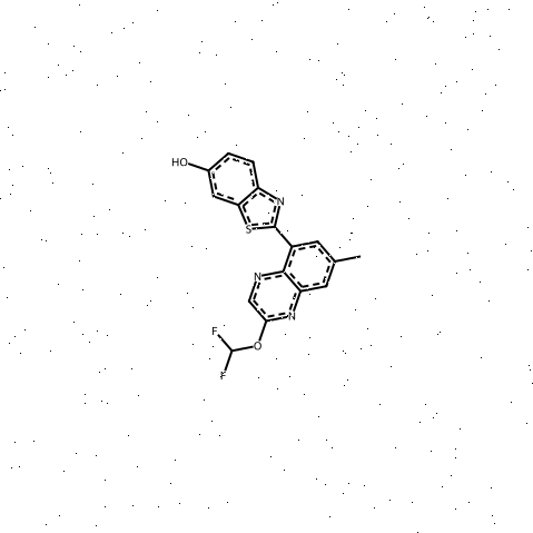 Cc1cc(-c2nc3ccc(O)cc3s2)c2ncc(OC(F)F)nc2c1